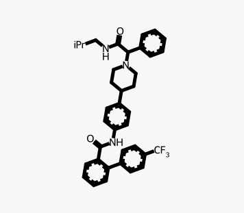 CC(C)CNC(=O)C(c1ccccc1)N1CCC(c2ccc(NC(=O)c3ccccc3-c3ccc(C(F)(F)F)cc3)cc2)CC1